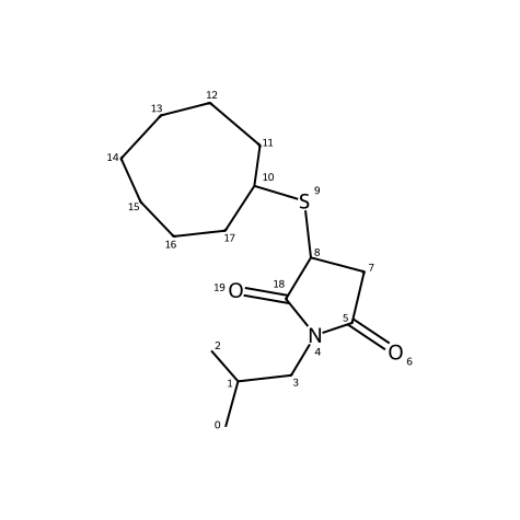 CC(C)CN1C(=O)CC(SC2CCCCCCC2)C1=O